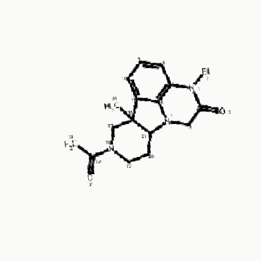 CCN1C(=O)CN2c3c1cccc3C1(C)CN(C(=O)C(F)(F)F)CCC21